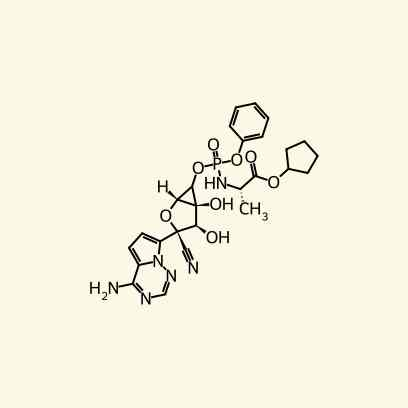 C[C@H](NP(=O)(Oc1ccccc1)OC1[C@H]2O[C@@](C#N)(c3ccc4c(N)ncnn34)[C@H](O)[C@@]12O)C(=O)OC1CCCC1